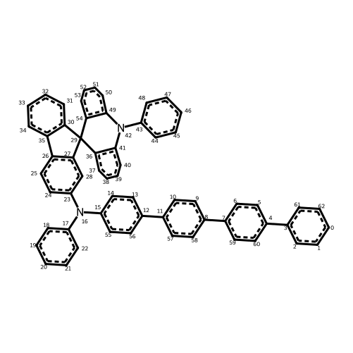 c1ccc(-c2ccc(-c3ccc(-c4ccc(N(c5ccccc5)c5ccc6c(c5)C5(c7ccccc7-6)c6ccccc6N(c6ccccc6)c6ccccc65)cc4)cc3)cc2)cc1